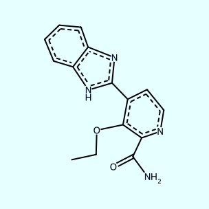 CCOc1c(-c2nc3ccccc3[nH]2)ccnc1C(N)=O